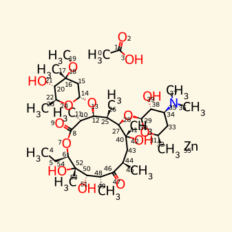 CC(=O)O.CC[C@H]1OC(=O)[C@H](C)[C@@H](O[C@H]2C[C@@](C)(OC)[C@@H](O)[C@H](C)O2)[C@@H](C)[C@@H](O[C@@H]2O[C@H](C)C[C@H](N(C)C)[C@H]2O)[C@](C)(O)C[C@@H](C)C(=O)[C@H](C)[C@H](O)[C@]1(C)O.[Zn]